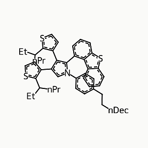 CCCCCCCCCCCCc1ccc(-n2cc(-c3ccsc3C(CC)CCC)c(-c3ccsc3C(CC)CCC)c2-c2cccc3sc4ccccc4c23)cc1